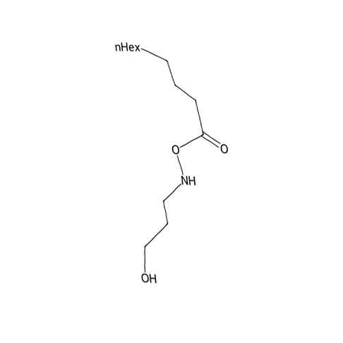 CCCCCCCCCC(=O)ONCCCO